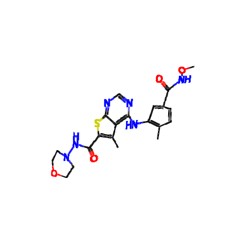 CONC(=O)c1ccc(C)c(Nc2ncnc3sc(C(=O)NN4CCOCC4)c(C)c23)c1